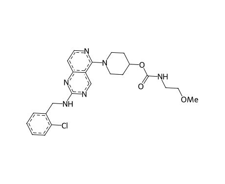 COCCNC(=O)OC1CCN(c2nccc3nc(NCc4ccccc4Cl)ncc23)CC1